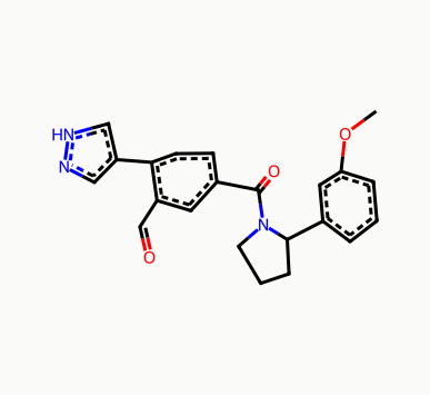 COc1cccc(C2CCCN2C(=O)c2ccc(-c3cn[nH]c3)c(C=O)c2)c1